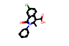 Cc1c(C(=O)O)c2ccc(Cl)cc2c(=O)n1-c1ccccc1